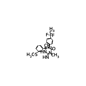 CSc1cccc([C@@]2(C)NC(=N)N(C)C(=O)[C@@H]2c2ccc(C(C)(F)F)cc2)c1